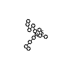 c1ccc(-c2ccc(N(c3ccc(-c4ccc(-c5cccc6ccccc56)cc4)cc3)c3ccc(-c4ccccc4-c4ccccc4-c4ccc5ccccc5c4)cc3)c3c2sc2ccccc23)cc1